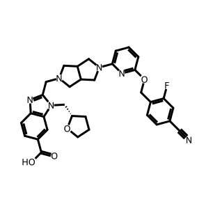 N#Cc1ccc(COc2cccc(N3CC4CN(Cc5nc6ccc(C(=O)O)cc6n5C[C@@H]5CCCO5)CC4C3)n2)c(F)c1